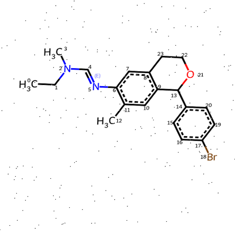 CCN(C)/C=N/c1cc2c(cc1C)C(c1ccc(Br)cc1)OCC2